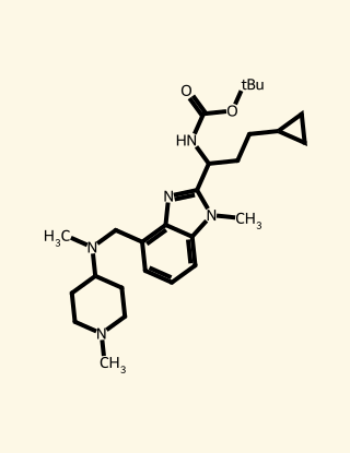 CN1CCC(N(C)Cc2cccc3c2nc(C(CCC2CC2)NC(=O)OC(C)(C)C)n3C)CC1